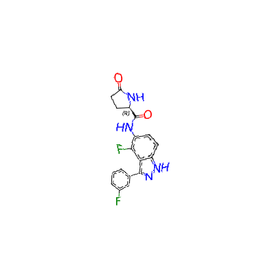 O=C1CC[C@H](C(=O)Nc2ccc3[nH]nc(-c4cccc(F)c4)c3c2F)N1